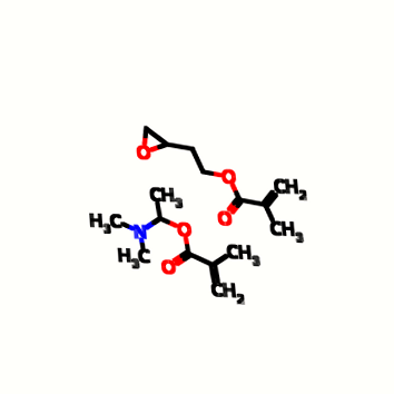 C=C(C)C(=O)OC(C)N(C)C.C=C(C)C(=O)OCCC1CO1